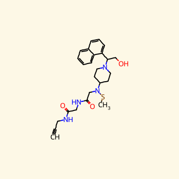 C#CCNC(=O)CNC(=O)CN(SC)C1CCN(C(CO)c2cccc3ccccc23)CC1